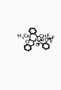 CC1c2ccccc2N(C)C(=O)C(Cc2ccccc2)N1S(=O)(=O)c1ccccc1OC(F)(F)F